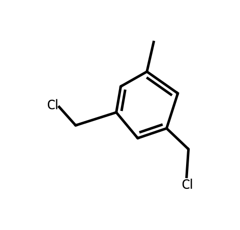 Cc1cc(CCl)cc(CCl)c1